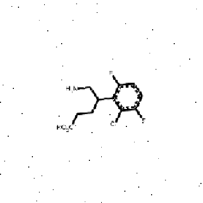 NCC(CCC(=O)O)c1c(F)ccc(F)c1Cl